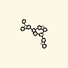 c1ccc(-c2cc(-c3ccc4c(c3)oc3ccccc34)nc(-c3cccc4oc5ccc(-c6cccc(-c7ccc8c(c7)c7ccccc7n8-c7ccccc7)c6)cc5c34)c2)cc1